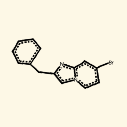 Brc1ccn2cc(Cc3ccccc3)nc2c1